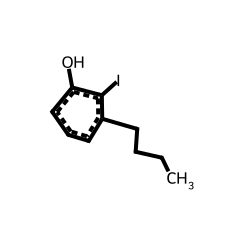 CCCCc1cccc(O)c1I